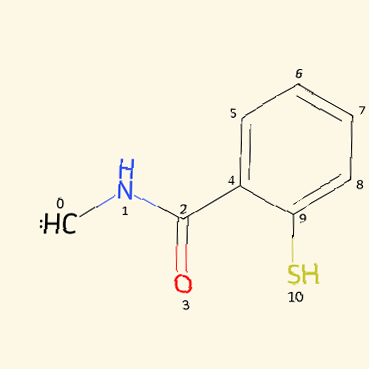 [CH]NC(=O)c1ccccc1S